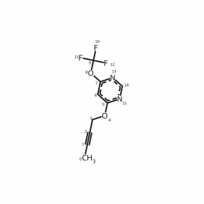 CC#CCOc1cc(OC(F)(F)F)ncn1